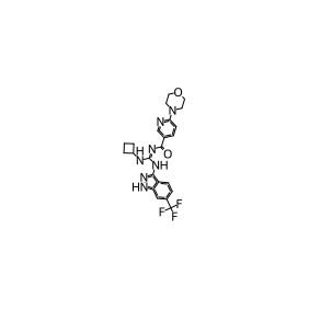 O=C(/N=C(\Nc1n[nH]c2cc(C(F)(F)F)ccc12)NC1CCC1)c1ccc(N2CCOCC2)nc1